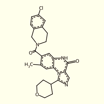 Cc1cc2c(cc1C(=O)N1CCc3cc(Cl)ccc3C1)[nH]c(=O)c1cnc(C3CCOCC3)n12